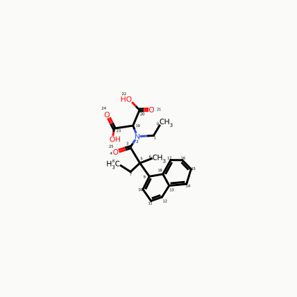 CCN(C(=O)C(C)(CC)c1cccc2ccccc12)C(C(=O)O)C(=O)O